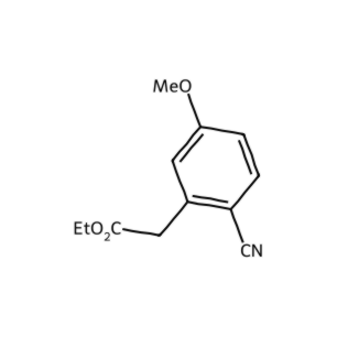 CCOC(=O)Cc1cc(OC)ccc1C#N